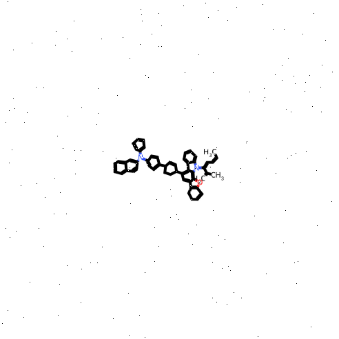 C=C(C)/C(=C\C=C/C)n1c2ccccc2c2c(C3C=CC(c4ccc(N(c5c#cc6ccccc6c5)c5ccccc5)cc4)CC3)cc3c4c(oc3c21)C=CCC4